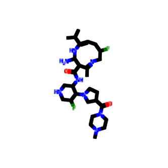 C/C1=N\CC(F)C/C=C(/C(C)C)NC(N)C1C(=O)NC1CNCC(F)C1N1CCC(C(=O)N2CCN(C)CC2)C1